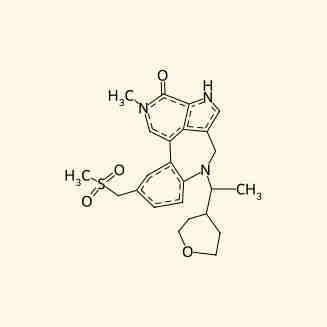 CC(C1CCOCC1)N1Cc2c[nH]c3c(=O)n(C)cc(c23)-c2cc(CS(C)(=O)=O)ccc21